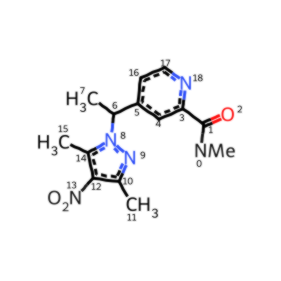 CNC(=O)c1cc(C(C)n2nc(C)c([N+](=O)[O-])c2C)ccn1